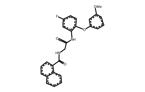 COc1cccc(Oc2ccc(F)cc2NC(=O)CNC(=O)c2cccc3ccccc23)c1